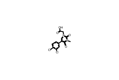 Cn1c(=O)c(-c2ccc(Cl)c(Cl)c2)cn(CC(=O)O)c1=O